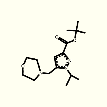 CC(C)n1nc(C(=O)OC(C)(C)C)cc1CN1CCOCC1